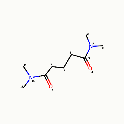 CN(C)C(=O)CCCC(=O)N(C)C